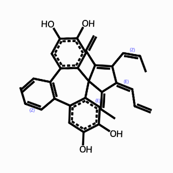 C=C/C=C1/C(/C=C\C)=C(C=C)C2(/C1=C/C)c1cc(O)c(O)cc1C(C=C)=C(/C=C\C)c1cc(O)c(O)cc12